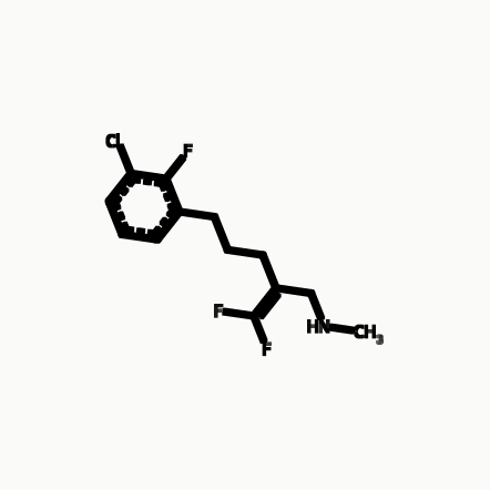 CNCC(CCCc1cccc(Cl)c1F)=C(F)F